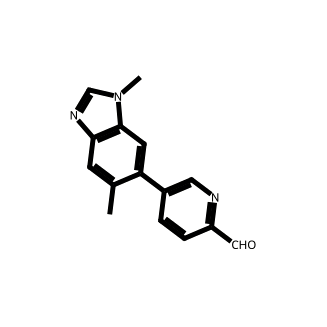 Cc1cc2ncn(C)c2cc1-c1ccc(C=O)nc1